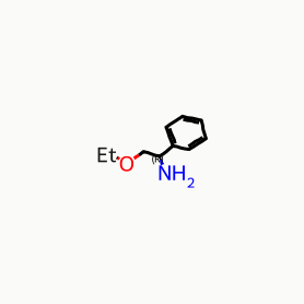 CCOC[C@H](N)c1ccccc1